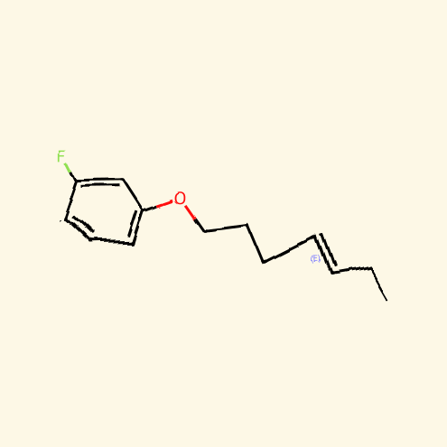 CC/C=C/CCCOc1cc[c]c(F)c1